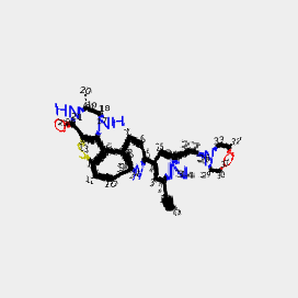 C#Cc1cc(-c2ccc3c(ccc4sc5c(c43)NC[C@@H](C)NC5=O)n2)cc(CN2CCOCC2)n1